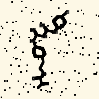 C=C(C)C(=O)OCCc1ccc(NC(=N)NC(=N)Nc2ccc(Cl)cc2)cc1